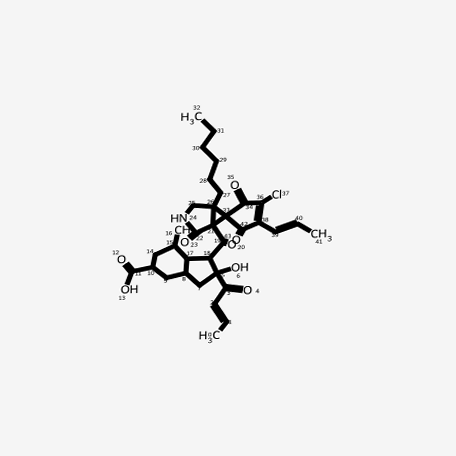 C/C=C/C(=O)C1(O)CC2CC(C(=O)O)CC(C)C2C1C(=O)C12C(=O)NCC1(CCCCCC)C21C(=O)C(Cl)=C(/C=C/C)C1=O